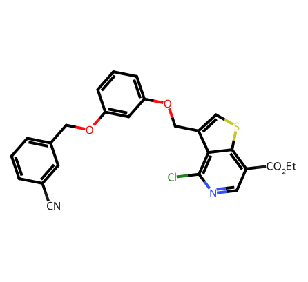 CCOC(=O)c1cnc(Cl)c2c(COc3cccc(OCc4cccc(C#N)c4)c3)csc12